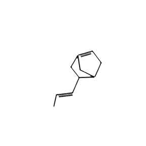 CC=CC1CC2=CCC1C2